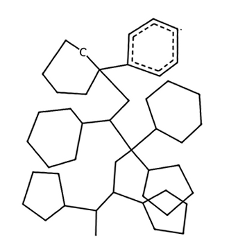 CC(C1CCCC1)C(CC(C1CCCCC1)(C1CCCC1)C(CC1(c2cc[c]cc2)CCCCC1)C1CCCCC1)C1CCCC1